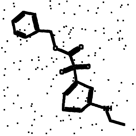 CCNc1cccc(S(=O)(=O)C(=O)OCc2ccccc2)c1